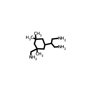 CC1(C)CC(C(CN)CN)CC(C)(CN)C1